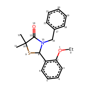 CCOc1ccccc1C1SC(C)(C)C(=O)N1Cc1ccccc1